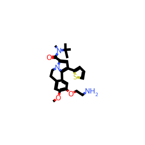 COc1cc2c(cc1OCCN)-c1c(-c3cccs3)cc(C(=O)N(C)C(C)(C)C)n1CC2